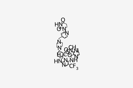 CN(c1nccnc1CNc1nc(Nc2ccc(N3CCN(Cc4ccnc(N5CCC(=O)NC5=O)c4)CC3)cc2)ncc1C(F)(F)F)S(C)(=O)=O